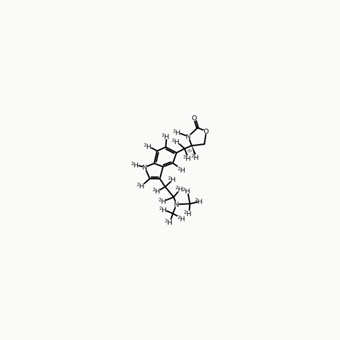 [2H]c1c(C([2H])([2H])[C@@]2([2H])COC(=O)N2[2H])c([2H])c2c(C([2H])([2H])C([2H])([2H])N(C([2H])([2H])[2H])C([2H])([2H])[2H])c([2H])n([2H])c2c1[2H]